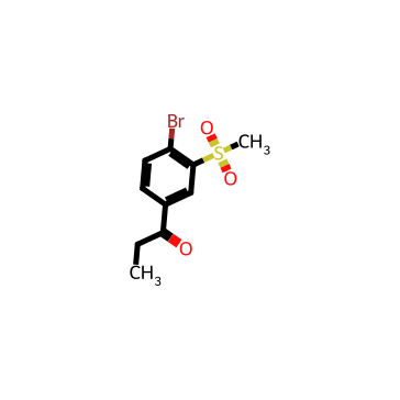 CCC(=O)c1ccc(Br)c(S(C)(=O)=O)c1